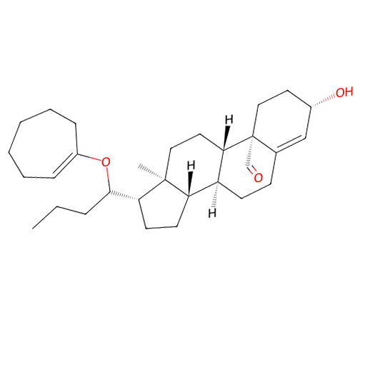 CCCC(OC1=CCCCCC1)[C@H]1CC[C@H]2[C@@H]3CCC4=C[C@@H](O)CC[C@]4(C=O)[C@H]3CC[C@]12C